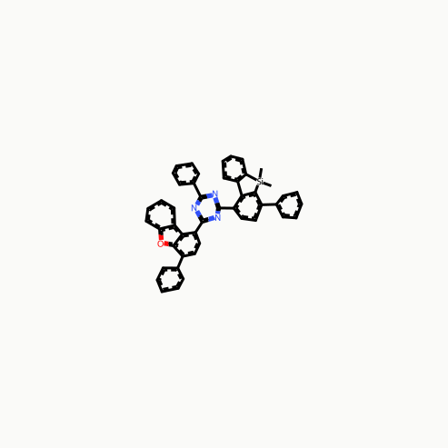 C[Si]1(C)c2ccccc2-c2c(-c3nc(-c4ccccc4)nc(-c4ccc(-c5ccccc5)c5oc6ccccc6c45)n3)ccc(-c3ccccc3)c21